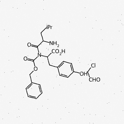 CC(C)CC(N)C(=O)N(C(=O)OCc1ccccc1)C(Cc1ccc(O)cc1)C(=O)O.O=CCCl